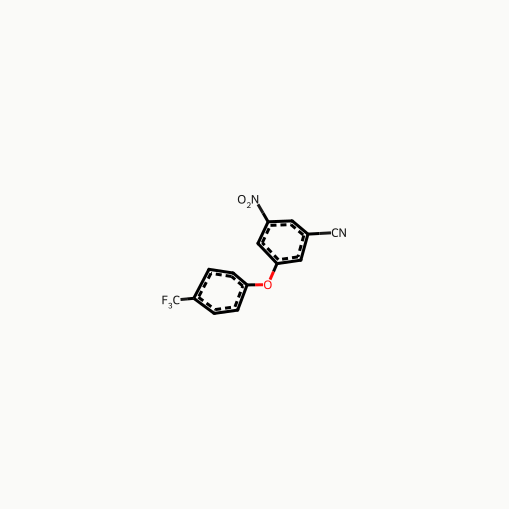 N#Cc1cc(Oc2ccc(C(F)(F)F)cc2)cc([N+](=O)[O-])c1